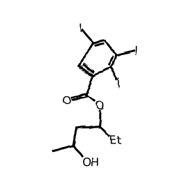 CCC(CC(C)O)OC(=O)c1cc(I)cc(I)c1I